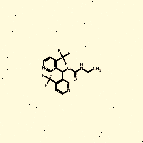 CCNC(=O)OC(c1cnccc1C(F)(F)F)c1cnccc1C(F)(F)F